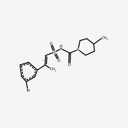 C/C(=C\S(=O)(=O)NC(=O)N1CCC(C)CC1)c1cccc(Br)c1